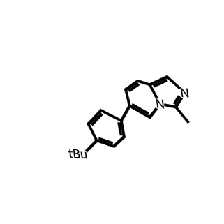 Cc1ncc2ccc(-c3ccc(C(C)(C)C)cc3)cn12